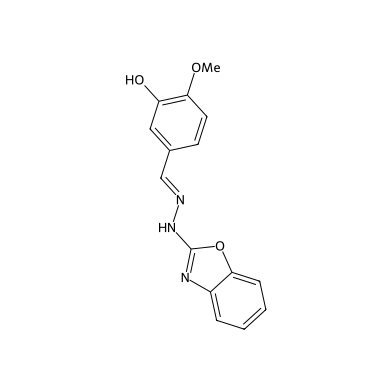 COc1ccc(C=NNc2nc3ccccc3o2)cc1O